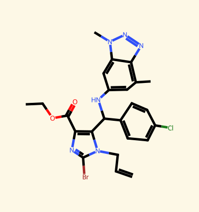 C=CCn1c(Br)nc(C(=O)OCC)c1C(Nc1cc(C)c2nnn(C)c2c1)c1ccc(Cl)cc1